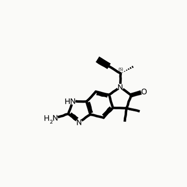 C#C[C@H](C)N1C(=O)C(C)(C)c2cc3nc(N)[nH]c3cc21